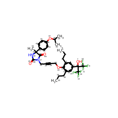 CCCc1cc(C(O)(C(F)(F)F)C(F)(F)F)cc(CCC)c1OCC#CCN1C(=O)NC(C)(c2ccc(OC(C)C)cc2)C1=O